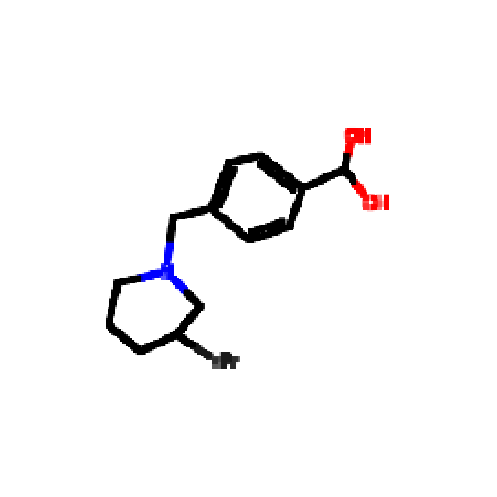 CCCC1CCCN(Cc2ccc(C(O)O)cc2)C1